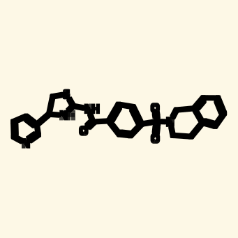 O=C(NC1NC(c2cccnc2)CS1)c1ccc(S(=O)(=O)N2CCc3ccccc3C2)cc1